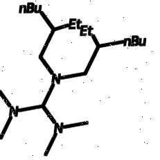 CCCCC(CC)CN(CC(CC)CCCC)C(N(C)C)N(C)C